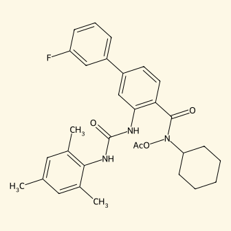 CC(=O)ON(C(=O)c1ccc(-c2cccc(F)c2)cc1NC(=O)Nc1c(C)cc(C)cc1C)C1CCCCC1